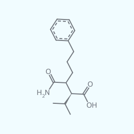 CC(C)[C@H](C(=O)O)C(CCCc1ccccc1)C(N)=O